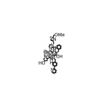 CC[C@H](C)[C@@H](C(=O)N[C@@H](Cc1ccccc1)[C@@H](O)CN(Cc1ccc(-c2ccccn2)cc1)NC(=O)C1CC(O)CN1C(=O)O)N1CCN(Cc2csc(COC)n2)C1=O